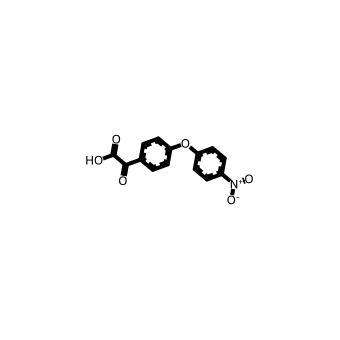 O=C(O)C(=O)c1ccc(Oc2ccc([N+](=O)[O-])cc2)cc1